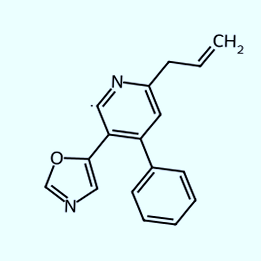 C=CCc1cc(-c2ccccc2)c(-c2cnco2)[c]n1